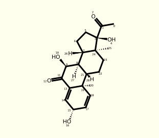 CC(=O)[C@@]1(O)CC[C@H]2[C@@H]3[C@H](O)C(=O)C4=C[C@@H](O)C=C[C@]4(C)[C@H]3CC[C@@]21C